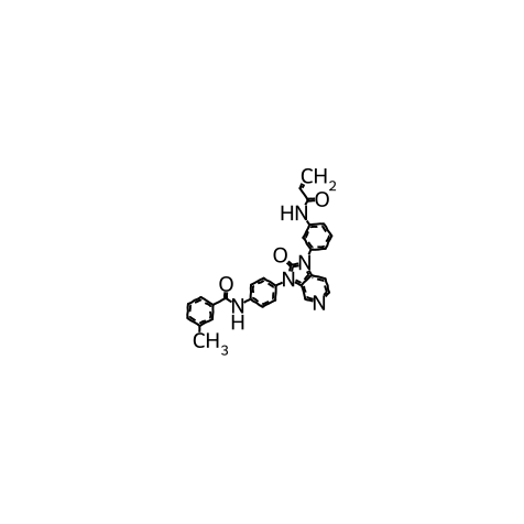 C=CC(=O)Nc1cccc(-n2c(=O)n(-c3ccc(NC(=O)c4cccc(C)c4)cc3)c3cnccc32)c1